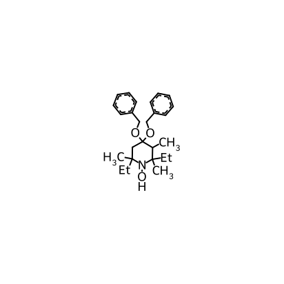 CCC1(C)CC(OCc2ccccc2)(OCc2ccccc2)C(C)C(C)(CC)N1O